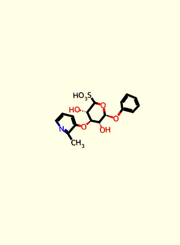 Cc1ncccc1O[C@@H]1[C@@H](O)[C@H](Oc2ccccc2)OC(S(=O)(=O)O)[C@H]1O